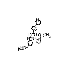 C=CC(=O)N1CCCC1Cn1c(NC(=O)c2ccc(-c3cccnn3)s2)nc2cc(CNCC3CC3)ccc21